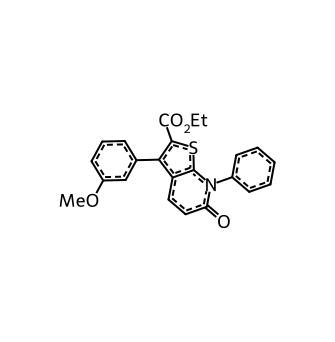 CCOC(=O)c1sc2c(ccc(=O)n2-c2ccccc2)c1-c1cccc(OC)c1